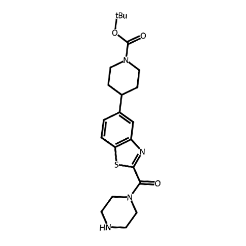 CC(C)(C)OC(=O)N1CCC(c2ccc3sc(C(=O)N4CCNCC4)nc3c2)CC1